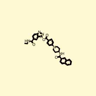 CCNC(=O)c1ccc2nnn(OC(=O)c3ccc(N4CCC(NC(=O)c5ccc6ccccc6c5)CC4)cc3)c2c1